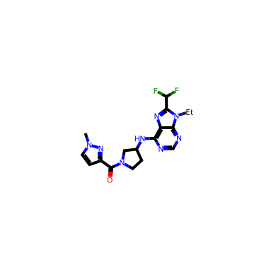 CCn1c(C(F)F)nc2c(NC3CCN(C(=O)c4ccn(C)n4)C3)ncnc21